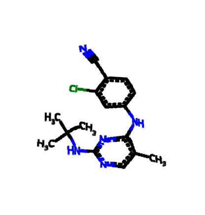 Cc1cnc(NC(C)(C)C)nc1Nc1ccc(C#N)c(Cl)c1